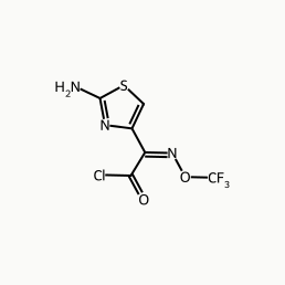 Nc1nc(C(=NOC(F)(F)F)C(=O)Cl)cs1